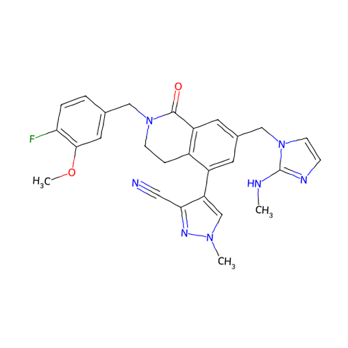 CNc1nccn1Cc1cc2c(c(-c3cn(C)nc3C#N)c1)CCN(Cc1ccc(F)c(OC)c1)C2=O